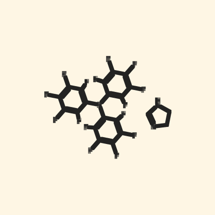 C1=NCCN1.Fc1c(F)c(F)c(B(c2c(F)c(F)c(F)c(F)c2F)c2c(F)c(F)c(F)c(F)c2F)c(F)c1F